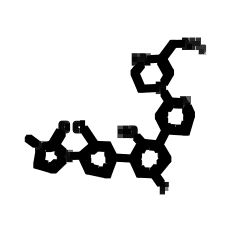 Cn1ccn(-c2ccc(-c3cc(F)cc(-c4ccnc(N5C=C(CN)NCC5)c4)c3O)cc2Cl)c1=O